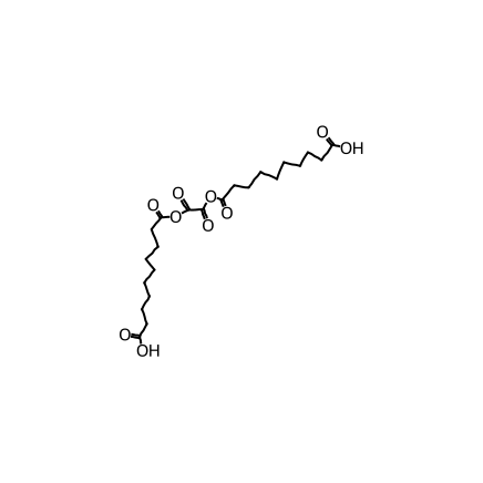 O=C(O)CCCCCCCCC(=O)OC(=O)C(=O)OC(=O)CCCCCCCCC(=O)O